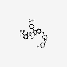 O=C(Nc1nc2cc(CN3CCN(CC4CCNCC4)CC3)ccc2n1[C@H]1CC[C@@H](CO)CC1)c1cccc(C(F)(F)F)c1